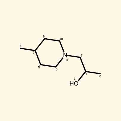 CC(O)CN1CCC(C)CC1